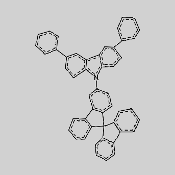 c1ccc(-c2ccc3c(c2)c2cc(-c4ccccc4)ccc2n3-c2ccc3c(c2)-c2ccccc2C32c3ccccc3-c3ccccc32)cc1